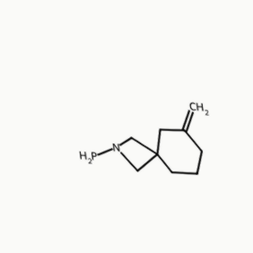 C=C1CCCC2(C1)CN(P)C2